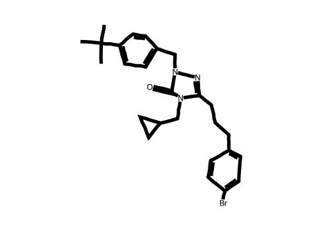 CC(C)(C)c1ccc(Cn2nc(CCCc3ccc(Br)cc3)n(CC3CC3)c2=O)cc1